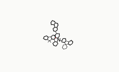 CC1(C)c2ccccc2-c2cccc(-c3ccccc3N(c3ccc(-c4ccc5c(ccc6ccccc65)c4)cc3)c3ccc4c(c3)C3(CCCCC3)c3ccccc3-4)c21